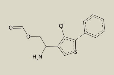 NC(COC=O)c1csc(-c2ccccc2)c1Cl